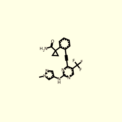 Cn1cc(Nc2ncc(C(F)(F)F)c(C#Cc3ccccc3C3(C(N)=O)CC3)n2)cn1